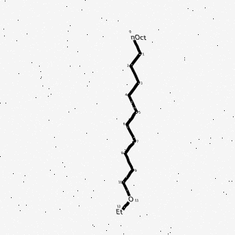 [CH2]CCCCCCCCCCCCCCCCCOCC